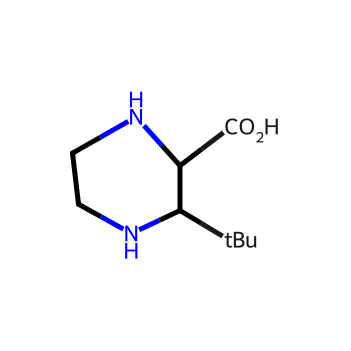 CC(C)(C)C1NCCNC1C(=O)O